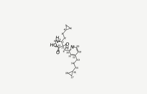 N[C@@H](CCC1CC1)C(O)(Cc1cc(CCCC2CC2)ccn1)C(=O)O